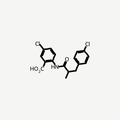 CC(Cc1ccc(Cl)cc1)C(=O)Nc1ccc(Cl)cc1C(=O)O